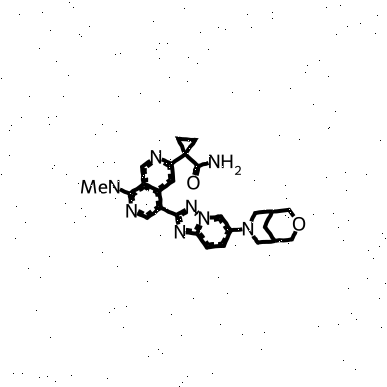 CNc1ncc(-c2nc3ccc(N4CC5COCC(C5)C4)cn3n2)c2cc(C3(C(N)=O)CC3)ncc12